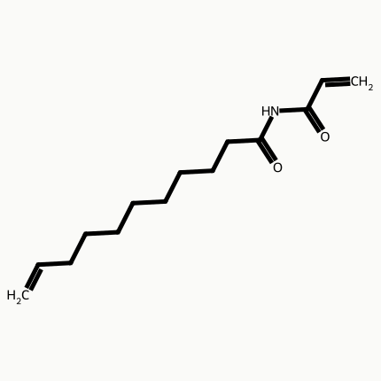 C=CCCCCCCCCC(=O)NC(=O)C=C